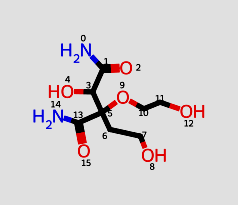 NC(=O)C(O)C(CCO)(OCCO)C(N)=O